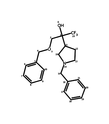 OC(COCc1ccccc1)(C1CCN(Cc2ccccc2)C1)C(F)(F)F